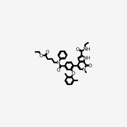 CCNC(=O)c1cc2c(-c3ccc(C(=O)N(CCCC(=O)OCC)c4ccccc4)cc3Oc3c(C)cccc3C)cn(C)c(=O)c2[nH]1